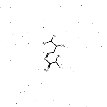 C=C(/N=C\CC(C)C(C)C)C(C)C